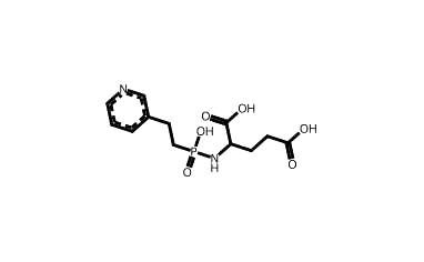 O=C(O)CCC(NP(=O)(O)CCc1cccnc1)C(=O)O